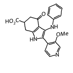 COc1cnccc1-c1[nH]c2c(c1Nc1ccccc1)C(=O)CC(C(=O)O)C2